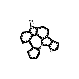 Cn1c2cccc3c4ccccc4n4c5occc5c5ccc1c(c32)c54